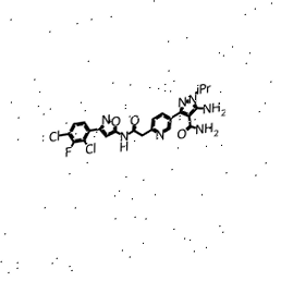 CC(C)n1nc(-c2ccc(CC(=O)Nc3cc(-c4ccc(Cl)c(F)c4Cl)no3)nc2)c(C(N)=O)c1N